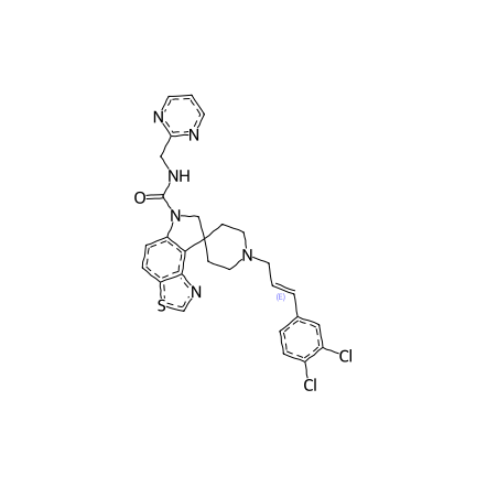 O=C(NCc1ncccn1)N1CC2(CCN(C/C=C/c3ccc(Cl)c(Cl)c3)CC2)c2c1ccc1scnc21